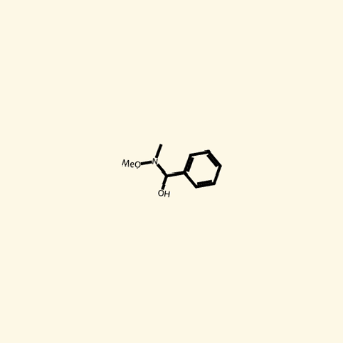 CON(C)C(O)c1ccccc1